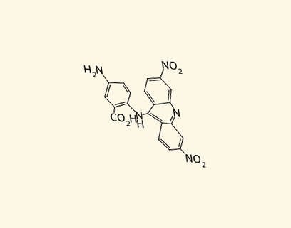 Nc1ccc(Nc2c3ccc([N+](=O)[O-])cc3nc3cc([N+](=O)[O-])ccc23)c(C(=O)O)c1